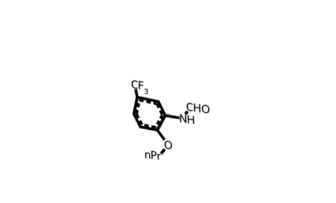 CCCOc1ccc(C(F)(F)F)cc1NC=O